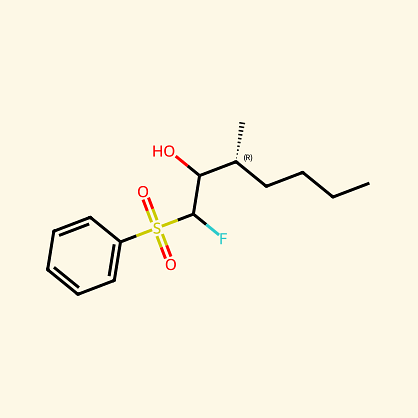 CCCC[C@@H](C)C(O)C(F)S(=O)(=O)c1ccccc1